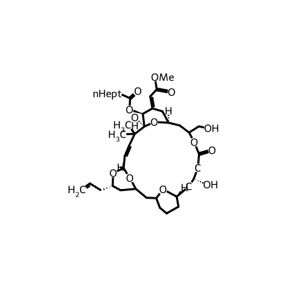 C=CC[C@H]1CC2CC3CCC[C@@H](C[C@@H](O)CC(=O)OC(CO)C[C@@H]4C/C(=C\C(=O)OC)[C@H](OC(=O)CCCCCCC)[C@@](O)(O4)C(C)(C)/C=C/[C@H](O2)O1)O3